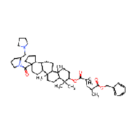 CC(CC(C)C(=O)OC1CCC2(C)C(CCC3(C)C4CCC5(C(=O)N6CCCC6CN6CCCC6)CCCC5C4CCC32)C1(C)C)C(=O)OCc1ccccc1